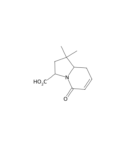 CC1(C)CC(C(=O)O)N2C(=O)C=CCC21